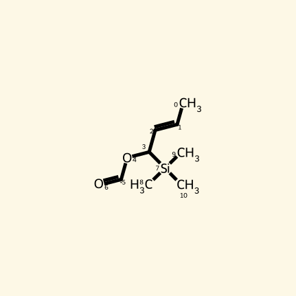 CC=CC(O[C]=O)[Si](C)(C)C